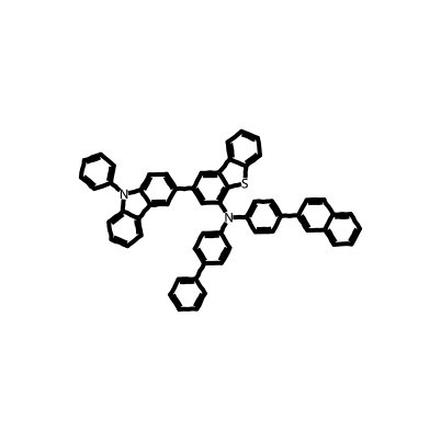 c1ccc(-c2ccc(N(c3ccc(-c4ccc5ccccc5c4)cc3)c3cc(-c4ccc5c(c4)c4ccccc4n5-c4ccccc4)cc4c3sc3ccccc34)cc2)cc1